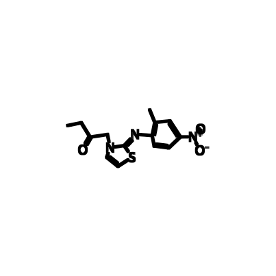 CCC(=O)Cn1ccsc1=Nc1ccc([N+](=O)[O-])cc1C